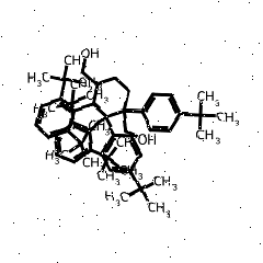 CC(C)(C)c1ccc(C2(CO)CCC(CO)C(c3c(C(C)(C)C)cccc3C(C)(C)C)C2(c2ccc(C(C)(C)C)cc2)c2c(C(C)(C)C)cccc2C(C)(C)C)cc1